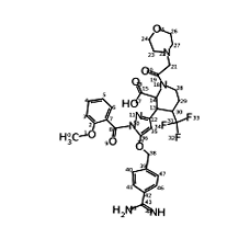 COc1ccccc1C(=O)n1nc(C2C(C(=O)O)N(C(=O)CN3CCOCC3)CCC2C(F)(F)F)cc1OCc1ccc(C(=N)N)cc1